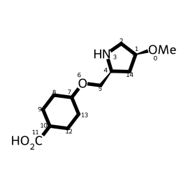 CO[C@@H]1CN[C@H](COC2CCC(C(=O)O)CC2)C1